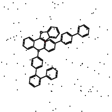 c1ccc(-c2ccc(-c3ccc(N(c4ccc(-c5ccccc5-c5ccccc5)cc4)c4ccccc4-c4cc5ccccc5o4)cc3)cc2)cc1